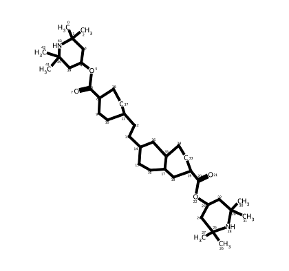 CC1(C)CC(OC(=O)C2CCC(CCC3CCC4CC(C(=O)OC5CC(C)(C)NC(C)(C)C5)CCC4C3)CC2)CC(C)(C)N1